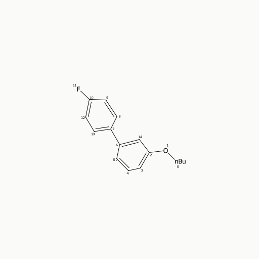 CCCCOc1cc[c]c(-c2ccc(F)cc2)c1